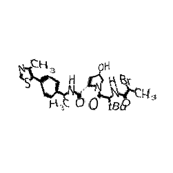 Cc1ncsc1-c1ccc([C@H](C)NC(=O)[C@@H]2C[C@@H](O)CN2C(=O)C(NC(=O)C(C)Br)C(C)(C)C)cc1